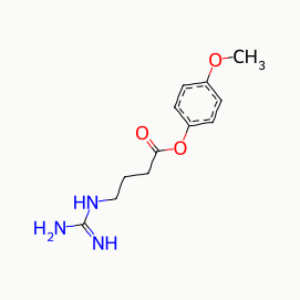 COc1ccc(OC(=O)CCCNC(=N)N)cc1